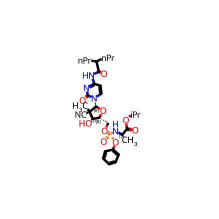 CCCC(CCC)C(=O)Nc1ccn([C@@H]2O[C@H](COP(=O)(N[C@@H](C)C(=O)OC(C)C)Oc3ccccc3)[C@@H](O)[C@@]2(C)C#N)c(=O)n1